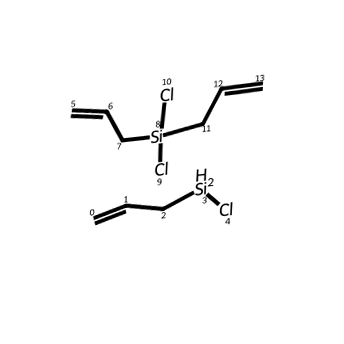 C=CC[SiH2]Cl.C=CC[Si](Cl)(Cl)CC=C